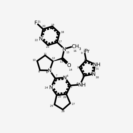 CC(C)c1cc(Nc2nc(N3CCC[C@H]3C(=O)N(C)c3ccc(F)nc3)nc3c2CCC3)n[nH]1